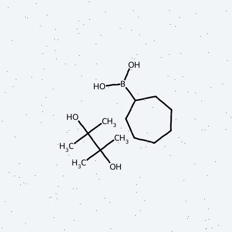 CC(C)(O)C(C)(C)O.OB(O)C1CCCCCC1